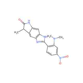 CC1C(=O)Nc2cc3[nH]c(-c4ccc([N+](=O)[O-])cc4N(C)C)nc3cc21